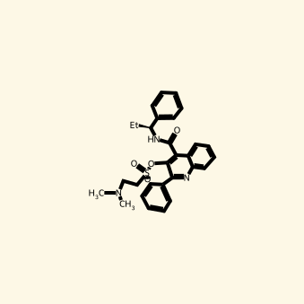 CC[C@H](NC(=O)c1c(OS(=O)(=O)CCN(C)C)c(-c2ccccc2)nc2ccccc12)c1ccccc1